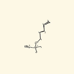 C=CCCCO[Si](C)(C)C(C)(C)C